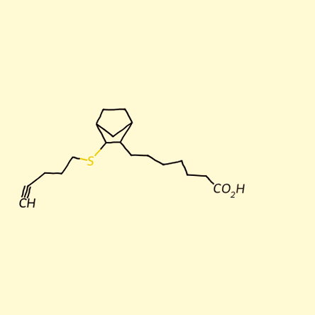 C#CCCCSC1C2CCC(C2)C1CCCCCCC(=O)O